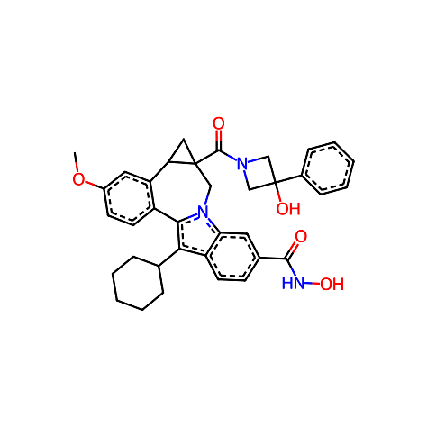 COc1ccc2c(c1)C1CC1(C(=O)N1CC(O)(c3ccccc3)C1)Cn1c-2c(C2CCCCC2)c2ccc(C(=O)NO)cc21